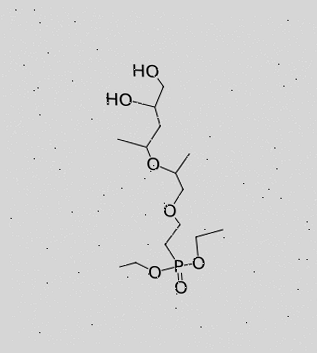 CCOP(=O)(CCOCC(C)OC(C)CC(O)CO)OCC